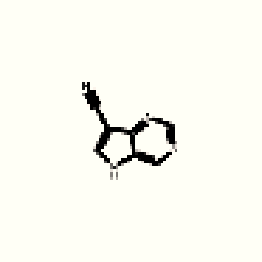 N#Cc1c[nH]c2cncnc12